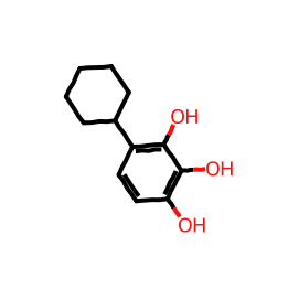 Oc1ccc(C2CCCCC2)c(O)c1O